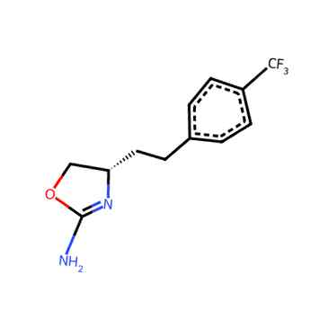 NC1=N[C@@H](CCc2ccc(C(F)(F)F)cc2)CO1